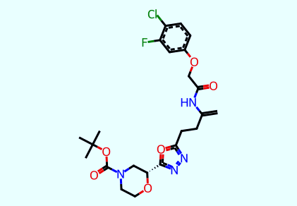 C=C(CCc1nnc([C@H]2CN(C(=O)OC(C)(C)C)CCO2)o1)NC(=O)COc1ccc(Cl)c(F)c1